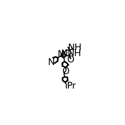 CC(C)c1ccc(COc2ccc(-c3c(-c4ccncc4)nn4c3C(=O)NC3(CNC3)C4)cc2)cc1